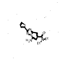 CCN(CC)C(=O)c1cc(N)n2nc(-c3cccs3)nc2c1